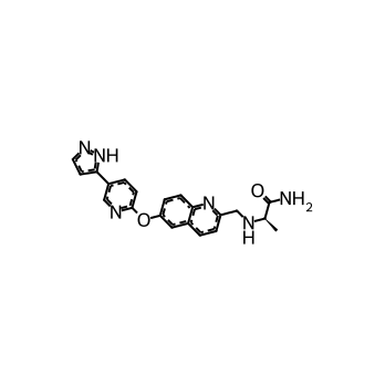 C[C@@H](NCc1ccc2cc(Oc3ccc(-c4ccn[nH]4)cn3)ccc2n1)C(N)=O